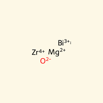 [Bi+3].[Mg+2].[O-2].[Zr+4]